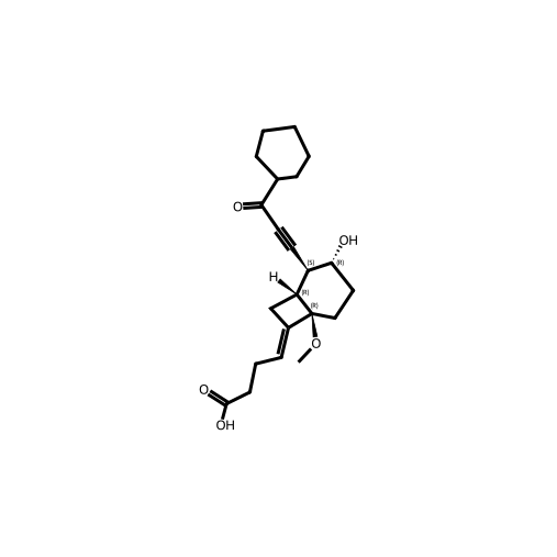 CO[C@]12CC[C@@H](O)[C@H](C#CC(=O)C3CCCCC3)[C@H]1CC2=CCCC(=O)O